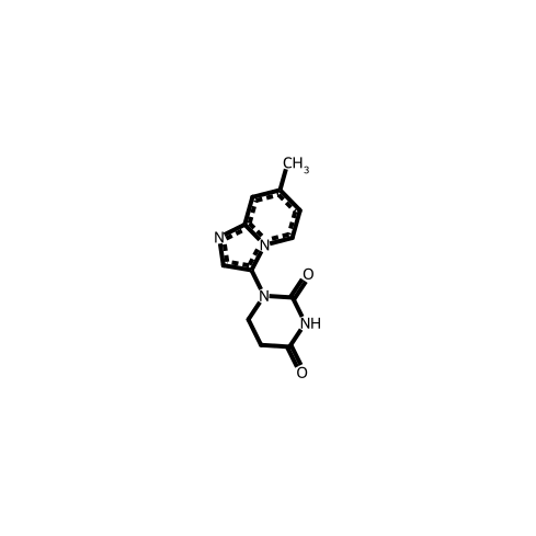 Cc1ccn2c(N3CCC(=O)NC3=O)cnc2c1